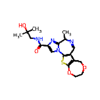 CC1N=Cc2c(sc3c2COCCO3)-n2cc(C(=O)NCC(C)(C)O)nc21